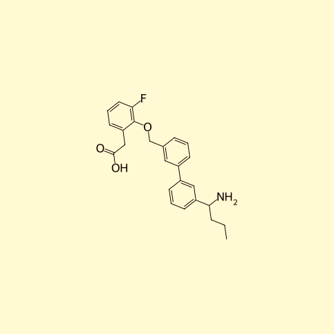 CCCC(N)c1cccc(-c2cccc(COc3c(F)cccc3CC(=O)O)c2)c1